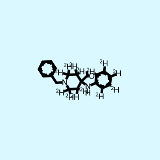 [2H]c1c([2H])c([2H])c(NC2(C(C)=O)C([2H])([2H])C([2H])([2H])N(Cc3ccccc3)C([2H])([2H])C2([2H])[2H])c([2H])c1[2H]